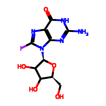 Nc1nc2c(nc(I)n2[C@@H]2O[C@H](CO)C(O)C2O)c(=O)[nH]1